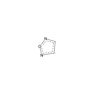 [c]1cnon1